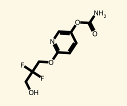 NC(=O)Oc1ccc(OCC(F)(F)CO)nc1